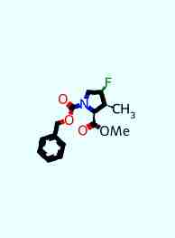 COC(=O)[C@@H]1[C@@H](C)[C@H](F)CN1C(=O)OCc1ccccc1